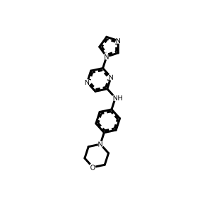 c1cn(-c2cncc(Nc3ccc(N4CCOCC4)cc3)n2)cn1